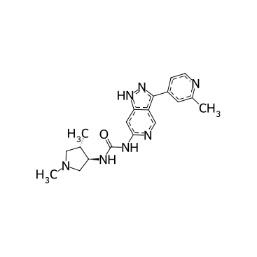 Cc1cc(-c2n[nH]c3cc(NC(=O)N[C@H]4CN(C)C[C@@H]4C)ncc23)ccn1